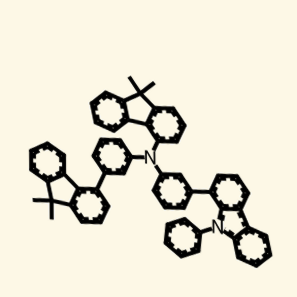 CC1(C)c2ccccc2-c2c(-c3cccc(N(c4cccc(-c5cccc6c7ccccc7n(-c7ccccc7)c56)c4)c4cccc5c4-c4ccccc4C5(C)C)c3)cccc21